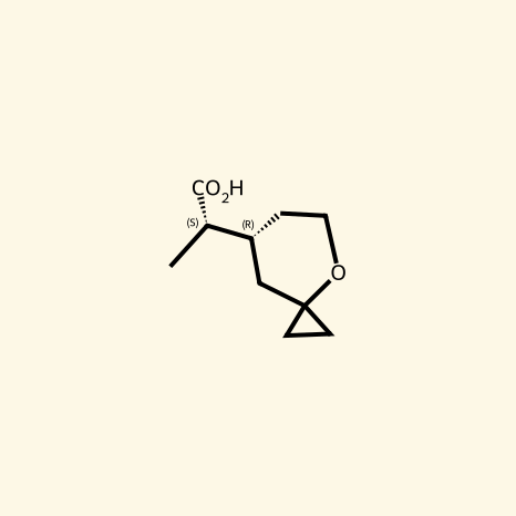 C[C@H](C(=O)O)[C@@H]1CCOC2(CC2)C1